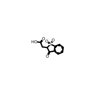 O=C(O)CC1C(=O)c2ccccc2S1(=O)=O